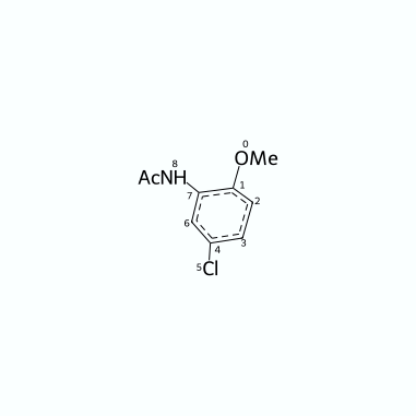 COc1ccc(Cl)cc1NC(C)=O